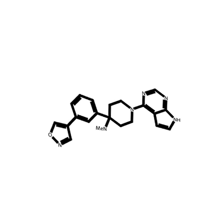 CNC1(c2cccc(-c3cnoc3)c2)CCN(c2ncnc3[nH]ccc23)CC1